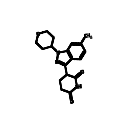 Cc1ccc2c(C3CCC(=O)NC3=O)nn(C3CCOCC3)c2c1